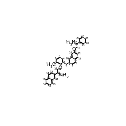 Cc1cccc(Cc2ccc3ccc(OCC(N)c4ccccc4)cc3c2)c1OCC(N)c1ccc2ccccc2c1